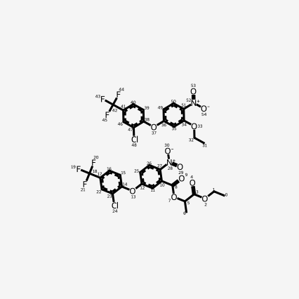 CCOC(=O)C(C)OC(=O)c1cc(Oc2ccc(C(F)(F)F)cc2Cl)ccc1[N+](=O)[O-].CCOc1cc(Oc2ccc(C(F)(F)F)cc2Cl)ccc1[N+](=O)[O-]